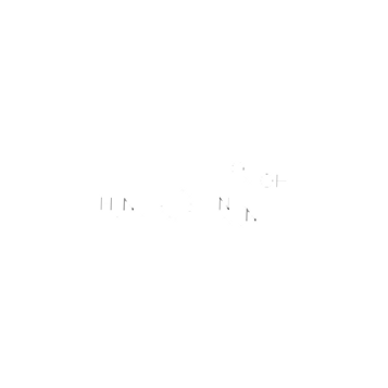 NCc1ccc(Cn2ccnc2C(=O)O)cc1